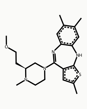 COCC[C@H]1CN(C2=Nc3cc(C)c(C)cc3Nc3sc(C)cc32)CCN1C